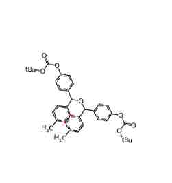 Cc1ccc(C(OC(c2ccc(C)cc2)c2ccc(OC(=O)OC(C)(C)C)cc2)c2ccc(OC(=O)OC(C)(C)C)cc2)cc1